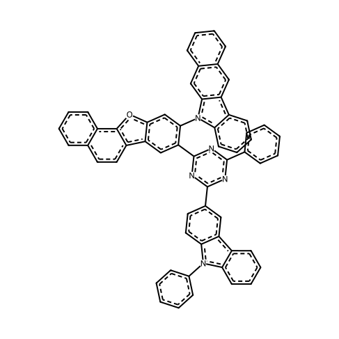 c1ccc(-c2nc(-c3ccc4c(c3)c3ccccc3n4-c3ccccc3)nc(-c3cc4c(cc3-n3c5ccccc5c5cc6ccccc6cc53)oc3c5ccccc5ccc43)n2)cc1